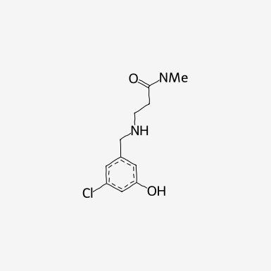 CNC(=O)CCNCc1cc(O)cc(Cl)c1